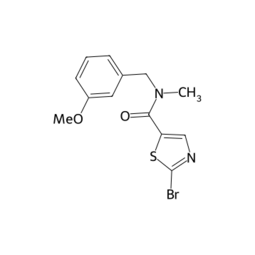 COc1cccc(CN(C)C(=O)c2cnc(Br)s2)c1